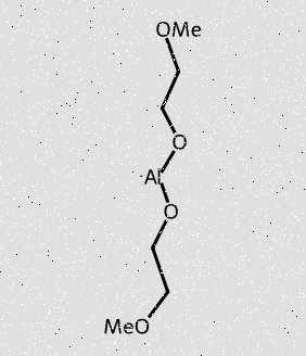 COCC[O][Al][O]CCOC